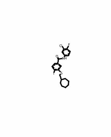 O=C(Nc1ccc(F)c(Cl)c1)c1ccc(I)c(SCC2CCCCCC2)c1